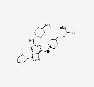 CCCCN(CCCC)CCC1CCN(Nc2nc(N[C@H]3CC[C@H](N)CC3)nc3c2ncn3C2CCCC2)CC1